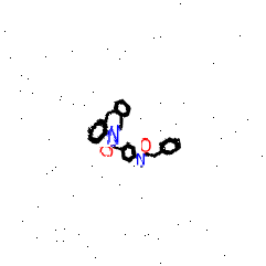 CN(C(=O)Cc1ccccc1)c1ccc(C(=O)N2Cc3ccccc3Cc3ccccc32)cc1